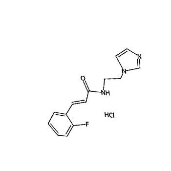 Cl.O=C(/C=C/c1ccccc1F)NCCn1ccnc1